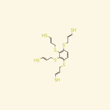 SC=CCSc1ccc(SCC=CS)c(SCC=CS)c1SCC=CS